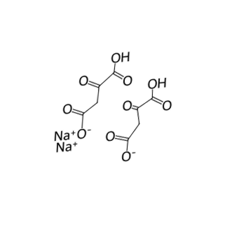 O=C([O-])CC(=O)C(=O)O.O=C([O-])CC(=O)C(=O)O.[Na+].[Na+]